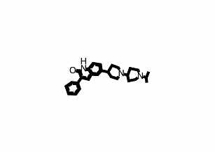 CC(C)N1CCC(N2CCC(c3ccc4[nH]c(=O)c(-c5ccccc5)cc4c3)CC2)CC1